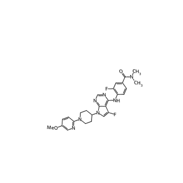 COc1ccc(N2CCC(n3cc(F)c4c(Nc5ccc(C(=O)N(C)C)cc5F)ncnc43)CC2)nc1